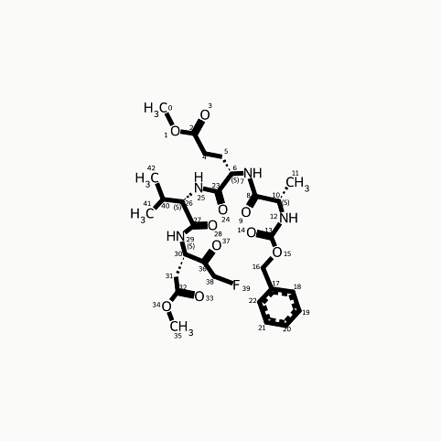 COC(=O)CC[C@H](NC(=O)[C@H](C)NC(=O)OCc1ccccc1)C(=O)N[C@H](C(=O)N[C@@H](CC(=O)OC)C(=O)CF)C(C)C